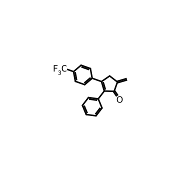 C=C1CC(c2ccc(C(F)(F)F)cc2)=C(c2ccccc2)C1=O